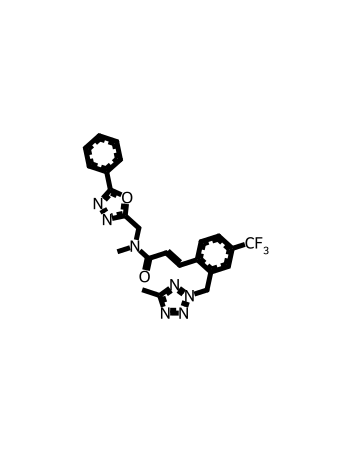 Cc1nnn(Cc2cc(C(F)(F)F)ccc2C=CC(=O)N(C)Cc2nnc(-c3ccccc3)o2)n1